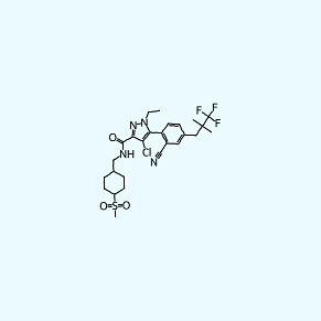 CCn1nc(C(=O)NCC2CCC(S(C)(=O)=O)CC2)c(Cl)c1-c1ccc(CC(C)(C)C(F)(F)F)cc1C#N